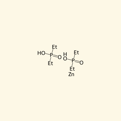 CCP(=O)(O)CC.CCP(=O)(O)CC.[Zn]